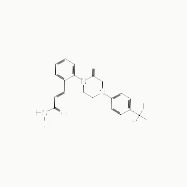 O=C(/C=C/c1ccccc1N1CCN(c2ccc(C(F)(F)F)cc2)CC1=O)NO